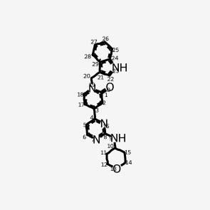 O=c1cc(-c2ccnc(NC3CCOCC3)n2)ccn1Cc1c[nH]c2ccccc12